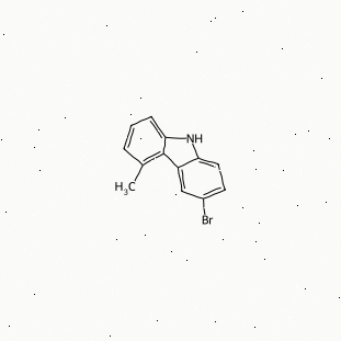 Cc1cccc2[nH]c3ccc(Br)cc3c12